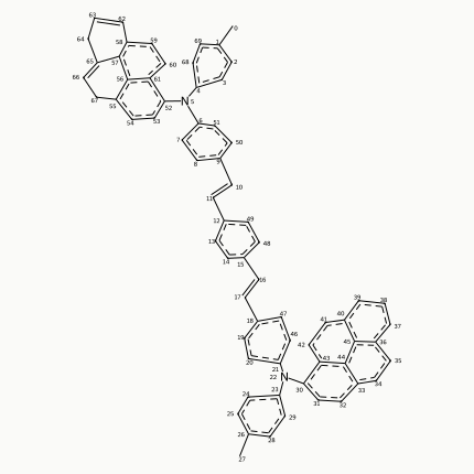 Cc1ccc(N(c2ccc(C=Cc3ccc(C=Cc4ccc(N(c5ccc(C)cc5)c5ccc6ccc7cccc8ccc5c6c78)cc4)cc3)cc2)c2ccc3c4c5c(ccc24)C=CCC5=CC3)cc1